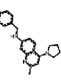 Cc1cc(N2CCCC2)c2ccc(NCc3ccncc3)cc2n1